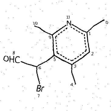 Cc1cc(C)c(C(Br)C=O)c(C)n1